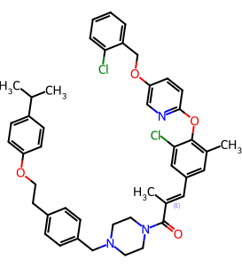 C/C(=C\c1cc(C)c(Oc2ccc(OCc3ccccc3Cl)cn2)c(Cl)c1)C(=O)N1CCN(Cc2ccc(CCOc3ccc(C(C)C)cc3)cc2)CC1